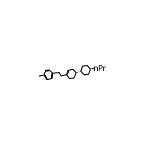 CCC[C@H]1CC[C@H](C2CC=C(CCc3ccc(C)cc3)CC2)CC1